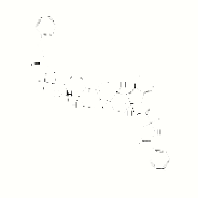 CC(C)C1=C2[C@H]3CC[C@@H]4[C@]5(C)CC[C@H]([C@@]6(C(=O)O)C[C@@H](C(=O)OCc7ccccc7)C6(C)C)C(C)(C)[C@H]5CC[C@@]4(C)[C@]3(C)CC[C@@]2(NC(=O)C(C)(C)NC(=O)c2ccc(F)cc2)CC1=O